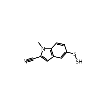 Cn1c(C#N)cc2cc(SS)ccc21